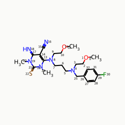 COCCN(CCCN(CCOC)c1c(C#N)c(=N)n(C)c(=S)n1C)Cc1ccc(F)cc1